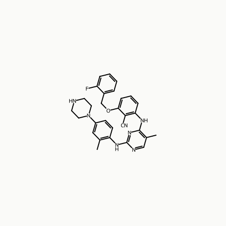 Cc1cc(N2CCNCC2)ccc1Nc1ncc(C)c(Nc2cccc(OCc3ccccc3F)c2C#N)n1